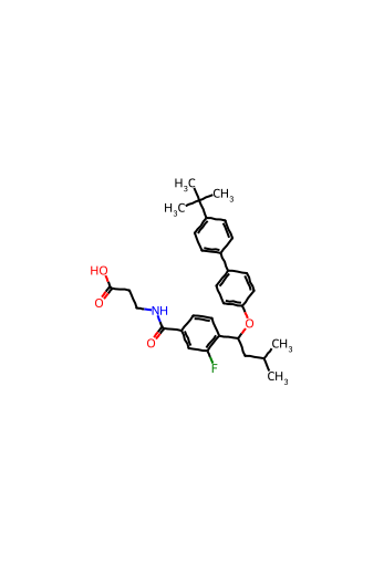 CC(C)CC(Oc1ccc(-c2ccc(C(C)(C)C)cc2)cc1)c1ccc(C(=O)NCCC(=O)O)cc1F